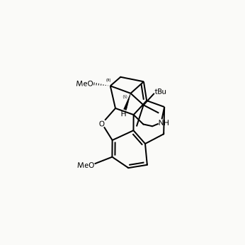 COc1ccc2c3c1OC1C34CCNC(C2)C4=C2C[C@@]1(OC)[C@H]2C(C)(C)C(C)(C)C